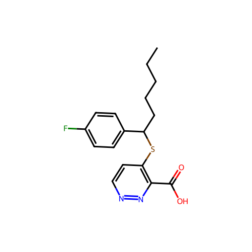 CCCCCC(Sc1ccnnc1C(=O)O)c1ccc(F)cc1